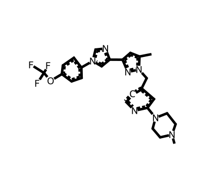 Cc1cc(-c2cn(-c3ccc(OC(F)(F)F)cc3)cn2)nn1Cc1ccnc(N2CCN(C)CC2)c1